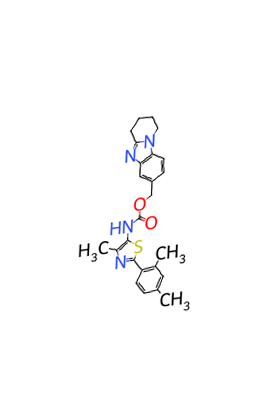 Cc1ccc(-c2nc(C)c(NC(=O)OCc3ccc4c(c3)nc3n4CCCC3)s2)c(C)c1